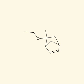 CCOC1(C)CC2C=CC1C2